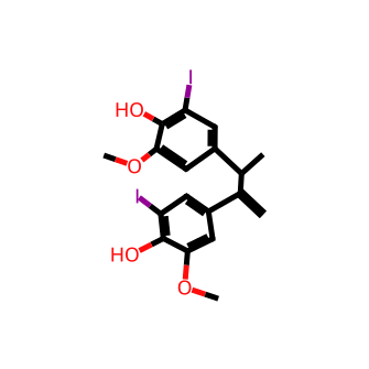 C=C(c1cc(I)c(O)c(OC)c1)C(C)c1cc(I)c(O)c(OC)c1